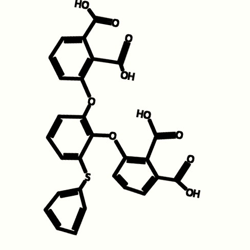 O=C(O)c1cccc(Oc2cccc(Sc3ccccc3)c2Oc2cccc(C(=O)O)c2C(=O)O)c1C(=O)O